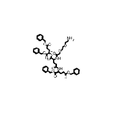 NCCOCCOCC(=O)NC(CCC(=O)NC(CCC(=O)OCc1ccccc1)C(=O)OCc1ccccc1)C(=O)NC(CCC(=O)OCc1ccccc1)C(=O)OCc1ccccc1